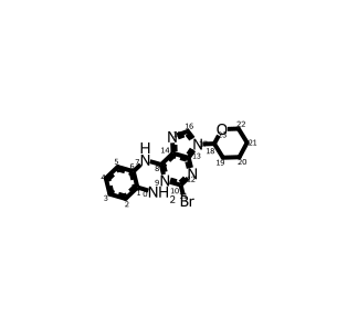 Nc1ccccc1Nc1nc(Br)nc2c1ncn2C1CCCCO1